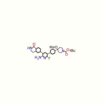 COC1(c2ccc(-c3cc(-c4ccc5c(c4)CCNC5=O)c(N)nc3F)cc2)CCN(C(=O)OC(C)(C)C)CC1